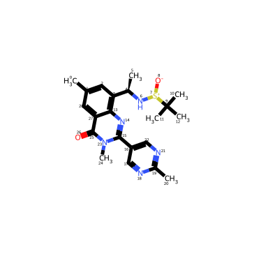 Cc1cc([C@@H](C)N[S+]([O-])C(C)(C)C)c2nc(-c3cnc(C)nc3)n(C)c(=O)c2c1